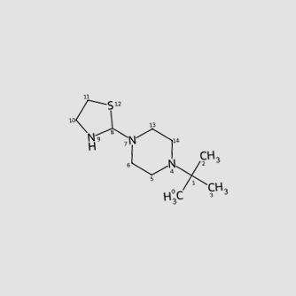 CC(C)(C)N1CCN(C2NCCS2)CC1